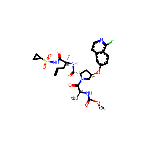 C=CC[C@](C)(NC(=O)[C@@H]1C[C@@H](Oc2ccc3c(Cl)nccc3c2)CN1C(=O)[C@@H](NC(=O)OC(C)(C)C)C(C)(C)C)C(=O)NS(=O)(=O)C1CC1